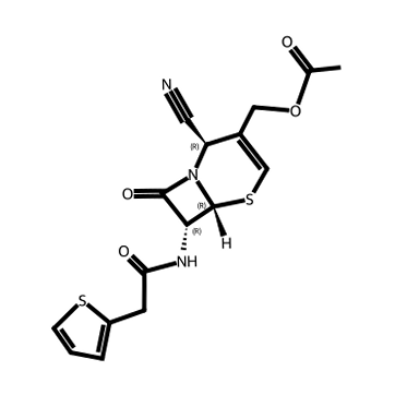 CC(=O)OCC1=CS[C@@H]2[C@H](NC(=O)Cc3cccs3)C(=O)N2[C@H]1C#N